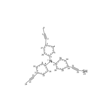 CC#Cc1ccc(N(c2ccc(C#CC)cc2)c2ccc(C#CS)cc2)cc1